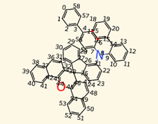 c1ccc(-c2ccc(N(c3ccccc3-c3ccccc3)c3cccc4c3-c3ccccc3C43c4ccc5ccccc5c4Oc4c3ccc3ccccc43)cc2)cc1